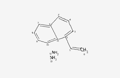 C=Cc1cccc2ccccc12.N.N